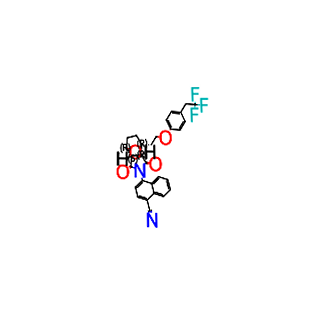 C[C@]12CC[C@](CCOc3ccc(CC(F)(F)F)cc3)(O1)[C@@H]1C(=O)N(c3ccc(C#N)c4ccccc34)C(=O)[C@@H]12